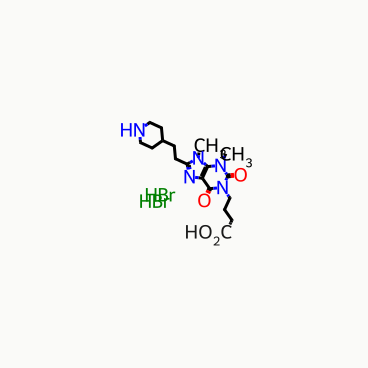 Br.Br.Cn1c(CCC2CCNCC2)nc2c(=O)n(CCCC(=O)O)c(=O)n(C)c21